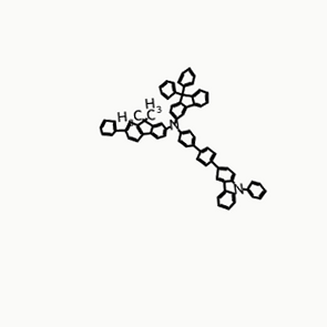 CC1(C)c2cc(-c3ccccc3)ccc2-c2ccc(N(c3ccc(-c4ccc(-c5ccc6c(c5)c5ccccc5n6-c5ccccc5)cc4)cc3)c3ccc4c(c3)-c3ccccc3C4(c3ccccc3)c3ccccc3)cc21